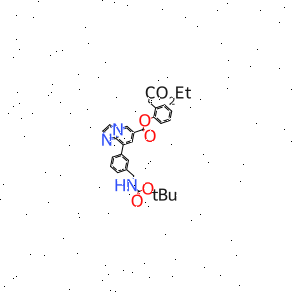 CCOC(=O)Cc1ccccc1OC(=O)c1cc(-c2cccc(CNC(=O)OC(C)(C)C)c2)c2nccn2c1